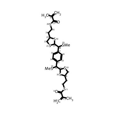 C=C(C)C(=O)SCCC1CSC(C(SC)c2ccc(C(SC)C3SCC(CCSC(=O)C(=C)C)S3)cc2)S1